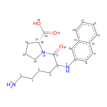 NCCCCC(Nc1ccc2ccccc2c1)C(=O)N1CCC[C@@H]1C(=O)O